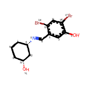 Oc1cc(C=N[C@H]2CCC[C@@H](O)C2)c(Br)cc1Br